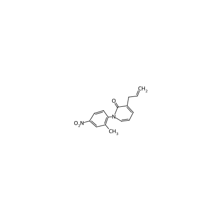 C=CCc1cccn(-c2ccc([N+](=O)[O-])cc2C)c1=O